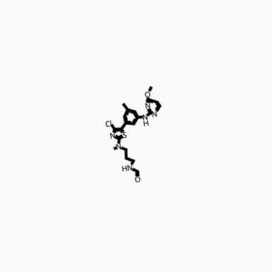 COc1ccnc(Nc2cc(C)cc(-c3sc(N(C)CCCNC=O)nc3Cl)c2)n1